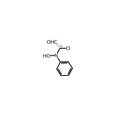 O=[C][C@H](Cl)N(O)c1ccccc1